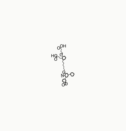 CN(C)c1c(OCCCCCCc2cccc(OCCCC(=O)O)c2CCC(=O)O)cc(-c2ccccc2)cc1-c1ccc2c(c1)OCO2